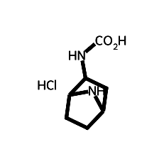 Cl.O=C(O)NC1CC2CCC1N2